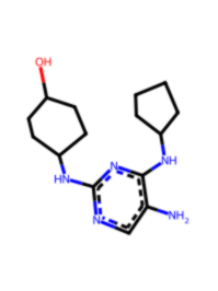 Nc1cnc(NC2CCC(O)CC2)nc1NC1CCCC1